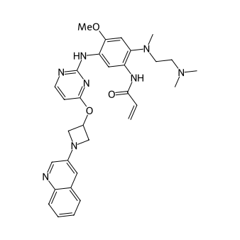 C=CC(=O)Nc1cc(Nc2nccc(OC3CN(c4cnc5ccccc5c4)C3)n2)c(OC)cc1N(C)CCN(C)C